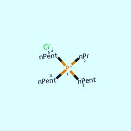 CCCCC[P+](CCC)(CCCCC)CCCCC.[Cl-]